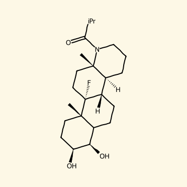 CC(C)C(=O)N1CCC[C@H]2[C@@H]3CCC4[C@@H](O)[C@@H](O)CC[C@]4(C)[C@@]3(F)CC[C@@]21C